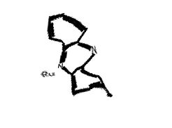 [Ru].c1ccc2nc3ccccc3nc2c1